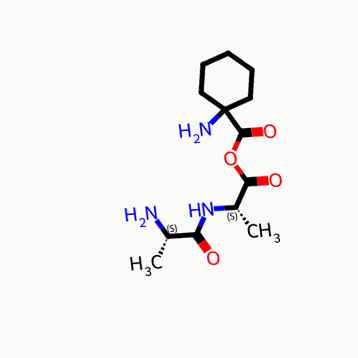 C[C@H](N)C(=O)N[C@@H](C)C(=O)OC(=O)C1(N)CCCCC1